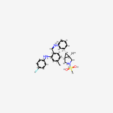 Cc1cc(Nc2ccc(F)cc2)c(C=N)cc1[C@@]12CN(S(C)(=O)=O)C[C@@H]1[C@H]2c1ccccc1